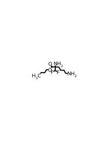 CCCCOC(=O)C(N)(CCCCN)C(F)F